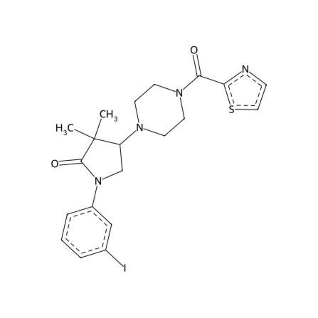 CC1(C)C(=O)N(c2cccc(I)c2)CC1N1CCN(C(=O)c2nccs2)CC1